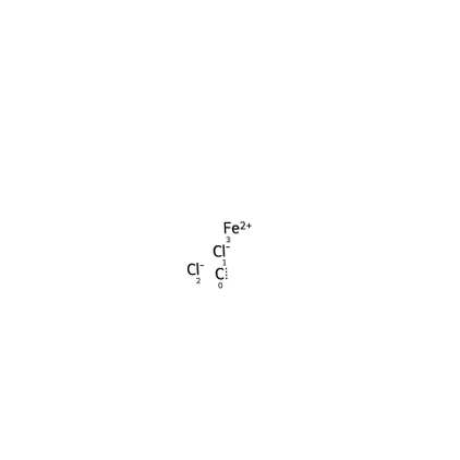 [C].[Cl-].[Cl-].[Fe+2]